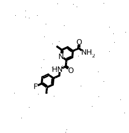 Cc1cc(C(N)=O)cc(C(=O)NCc2ccc(F)c(C)c2)n1